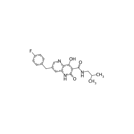 CC(C)CNC(=O)c1c(O)c2ncc(Cc3ccc(F)cc3)cc2[nH]c1=O